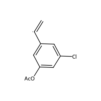 C=[C]c1cc(Cl)cc(OC(C)=O)c1